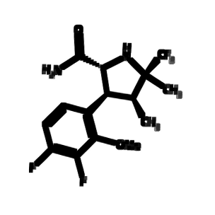 COc1c([C@H]2[C@H](C(N)=O)N[C@@](C)(C(F)(F)F)[C@H]2C)ccc(F)c1F